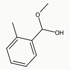 COC(O)c1ccccc1C